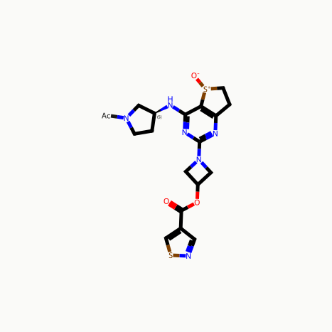 CC(=O)N1CC[C@H](Nc2nc(N3CC(OC(=O)c4cnsc4)C3)nc3c2[S+]([O-])CC3)C1